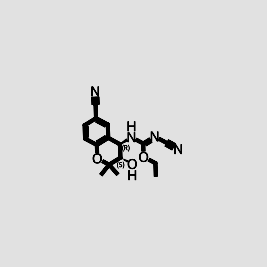 CCOC(=NC#N)N[C@@H]1c2cc(C#N)ccc2OC(C)(C)[C@H]1O